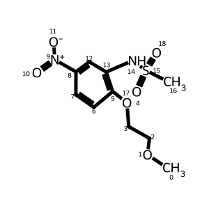 COCCOc1ccc([N+](=O)[O-])cc1NS(C)(=O)=O